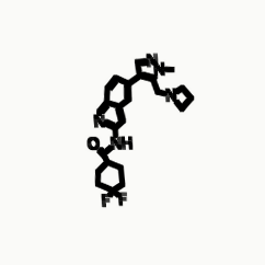 Cn1ncc(-c2ccc3cnc(NC(=O)C4CCC(F)(F)CC4)cc3c2)c1CN1CCC1